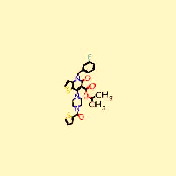 CC(C)OC(=O)c1c(N2CCN(C(=O)c3cccs3)CC2)c2sccc2n(Cc2cccc(F)c2)c1=O